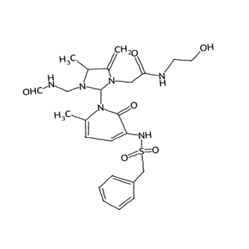 C=C1C(C)N(CNC=O)C(n2c(C)ccc(NS(=O)(=O)Cc3ccccc3)c2=O)N1CC(=O)NCCO